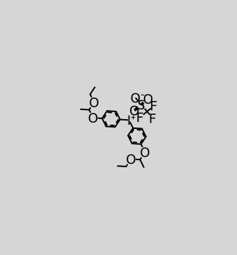 CCOC(C)Oc1ccc([I+]c2ccc(OC(C)OCC)cc2)cc1.O=S(=O)([O-])C(F)(F)F